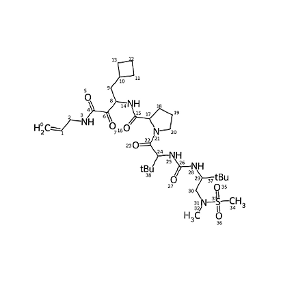 C=CCNC(=O)C(=O)C(CC1CCC1)NC(=O)C1CCCN1C(=O)C(NC(=O)NC(CN(C)S(C)(=O)=O)C(C)(C)C)C(C)(C)C